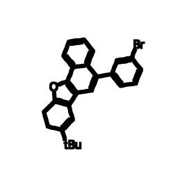 CC(C)(C)C1=Cc2c(oc3c2cc(-c2cccc(Br)c2)c2ccccc23)CC1